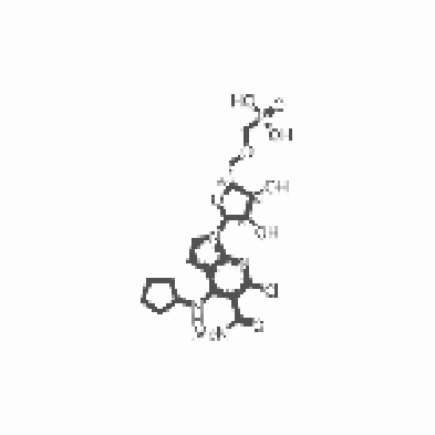 CNC(=O)c1c(Cl)nc2c(ccn2C2O[C@H](COCP(=O)(O)O)[C@@H](O)[C@H]2O)c1NC1CCCC1